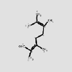 CC(C)=C(C)CCC(C)=C(C)C=O